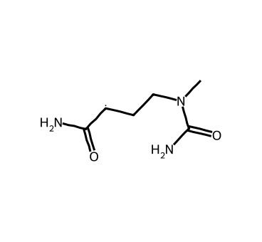 CN(CC[CH]C(N)=O)C(N)=O